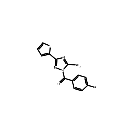 Nc1nc(-c2cccs2)nn1C(=O)c1ccc(F)cc1